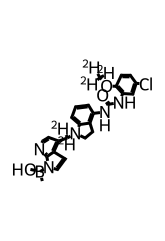 [2H]C([2H])([2H])Oc1ccc(Cl)cc1NC(=O)Nc1cccc2c1CCN2C([2H])([2H])c1ccnc2c1ccn2B(C)O